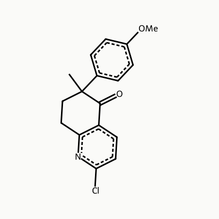 COc1ccc(C2(C)CCc3nc(Cl)ccc3C2=O)cc1